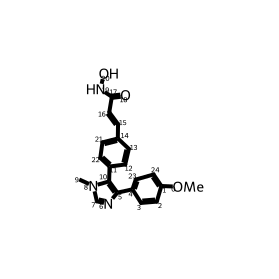 COc1ccc(-c2ncn(C)c2-c2ccc(/C=C/C(=O)NO)cc2)cc1